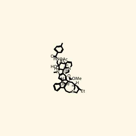 CCC1=C[C@@H]2CN(CCc3c([nH]c4ccccc34)[C@@](C(=O)OC)(c3cc4c(cc3OC)N(C)[C@H]3C(O)(CNC(=O)c5ccc(C)cc5)[C@H](OC(C)=O)[C@]5(CC)C=CCN6CC[C@]43[C@@H]65)C2)C1